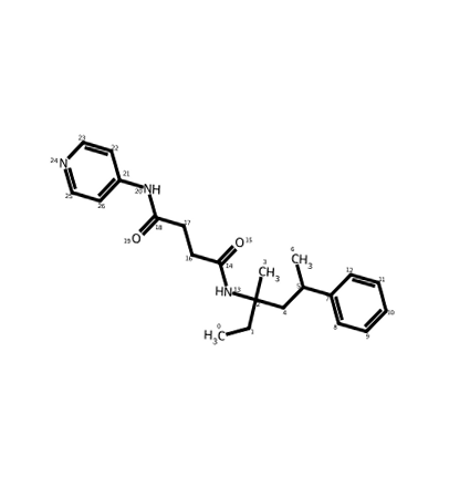 CCC(C)(CC(C)c1ccccc1)NC(=O)CCC(=O)Nc1ccncc1